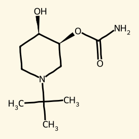 CC(C)(C)N1CC[C@@H](O)[C@@H](OC(N)=O)C1